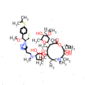 CC[C@H]1OC(=O)[C@H](C)C([C@H]2C[C@@](C)(OC)[C@@H](O)[C@H](C)O2)[C@H](C)[C@@H](O[C@@H]2O[C@H](C)C[C@H](N(C)CCc3cn([C@H](CF)[C@H](OC)c4ccc(SC(C)C)cc4)nn3)[C@H]2O)[C@](C)(O)C[C@@H](C)CN(C)[C@H](C)[C@@H](O)[C@]1(C)O